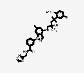 COc1ccc(F)cc1C(C)(C)CC(O)(CNc1cc(C)cc2c1cnn2-c1cccc(C(=O)NCc2ncon2)c1)C(F)(F)F